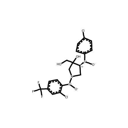 [O-][S+](c1ccc(Cl)cc1)[C@H]1CN([S+]([O-])c2ccc(C(F)(F)F)cc2Cl)CC1(O)CO